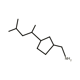 CC(C)CC(C)C1CCC(CN)C1